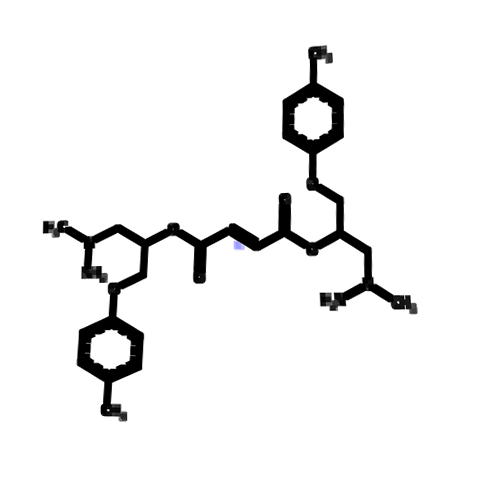 Cc1ccc(OCC(CN(C)N)OC(=O)/C=C/C(=O)OC(COc2ccc(C)cc2)CN(C)N)cc1